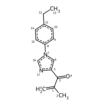 C=C(C)C(=O)c1cn(-c2ccc(CC)cc2)cn1